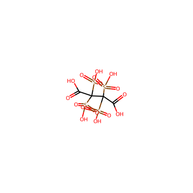 O=C(O)C(C(C(=O)O)(S(=O)(=O)O)S(=O)(=O)O)(S(=O)(=O)O)S(=O)(=O)O